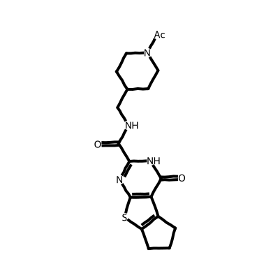 CC(=O)N1CCC(CNC(=O)c2nc3sc4c(c3c(=O)[nH]2)CCC4)CC1